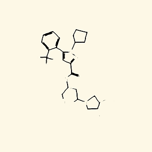 CC(C[C@@H](CC(=O)O)NC(=O)c1cc(-c2ccccc2C(C)(F)F)n(C2CCCC2)n1)N1C[C@@H](C)[C@H](C)C1